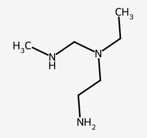 CCN(CCN)CNC